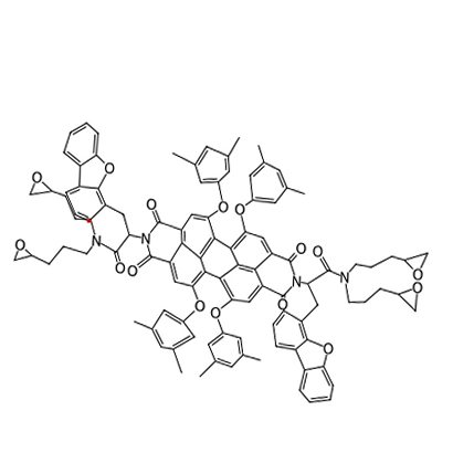 Cc1cc(C)cc(Oc2cc3c4c(cc(Oc5cc(C)cc(C)c5)c5c6c(Oc7cc(C)cc(C)c7)cc7c8c(cc(Oc9cc(C)cc(C)c9)c(c2c45)c86)C(=O)N(C(Cc2cccc4c2oc2ccccc24)C(=O)N(CCCC2CO2)CCCC2CO2)C7=O)C(=O)N(C(Cc2cccc4c2oc2ccccc24)C(=O)N(CCCC2CO2)CCCC2CO2)C3=O)c1